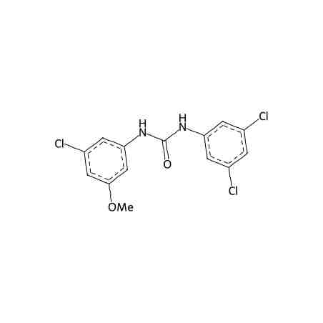 COc1cc(Cl)cc(NC(=O)Nc2cc(Cl)cc(Cl)c2)c1